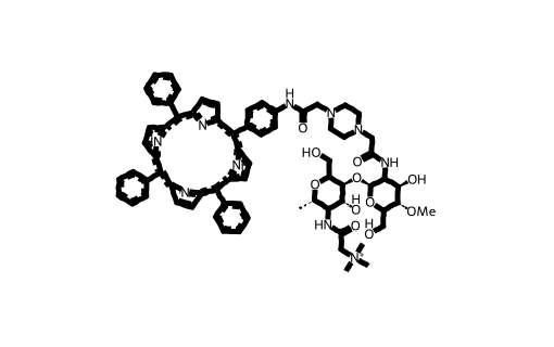 CO[C@@H]1C(CO)O[C@@H](O[C@@H]2C(CO)O[C@@H](C)C(NC(=O)C[N+](C)(C)C)[C@H]2O)C(NC(=O)CN2CCN(CC(=O)Nc3ccc(-c4c5nc(c(-c6ccccc6)c6ccc([nH]6)c(-c6ccccc6)c6nc(c(-c7ccccc7)c7ccc4[nH]7)C=C6)C=C5)cc3)CC2)[C@H]1O